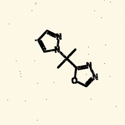 CC(C)(c1nnco1)n1c[c]cn1